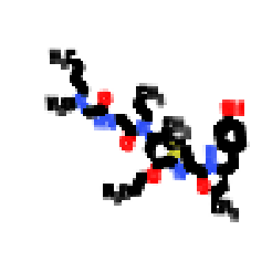 CCCCN(C)CC(=O)NCC(=O)N(CCC)C(C[C@@H](OCCC)c1nc(C(=O)N[C@H](CCC)Cc2ccc(O)cc2)cs1)C(C)C